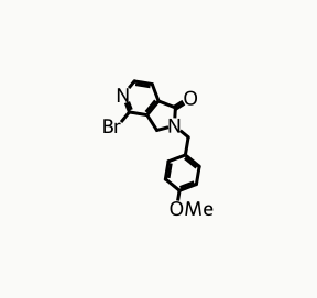 COc1ccc(CN2Cc3c(ccnc3Br)C2=O)cc1